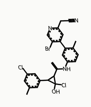 C=C(Nc1ccc(C)c(-c2cc(CC#N)ncc2Br)c1)C1C(c2cc(C)cc(Cl)c2)C1(O)Cl